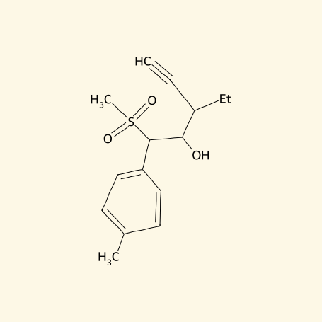 C#CC(CC)C(O)C(c1ccc(C)cc1)S(C)(=O)=O